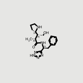 C[C@@H](C(=O)N[C@@H](Cc1ccccc1)c1nn[nH]n1)[C@@H](CO)[C@@H]1CCCN1